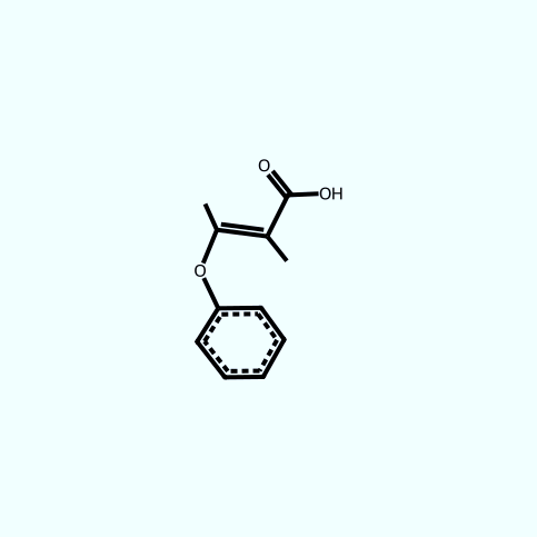 CC(Oc1ccccc1)=C(C)C(=O)O